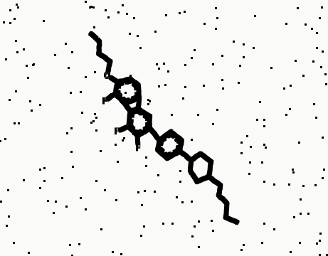 CCCCCC1CCC(c2ccc(-c3cc4c(c(F)c3F)-c3c-4ccc(OCCCC)c3F)cc2)CC1